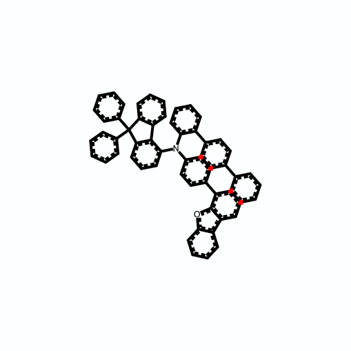 c1ccc(-c2ccc(-c3ccccc3N(c3ccc(-c4cccc5c4oc4ccccc45)cc3)c3cccc4c3-c3ccccc3C4(c3ccccc3)c3ccccc3)cc2)cc1